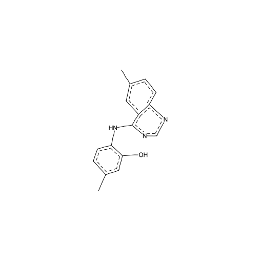 Cc1ccc(Nc2ncnc3ccc(C)cc23)c(O)c1